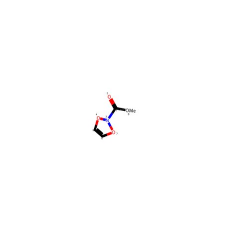 COC(=O)N1OC=CO1